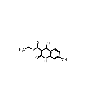 CCOC(=O)C1C(=O)Nc2cc(O)ccc2C1C